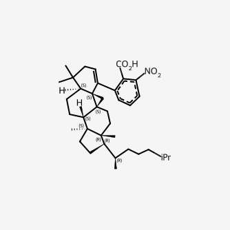 CC(C)CCC[C@@H](C)[C@H]1CC[C@@]2(C)[C@@H]3CC[C@H]4C(C)(C)CC=C(c5cccc([N+](=O)[O-])c5C(=O)O)[C@@]45C[C@@]35CC[C@]12C